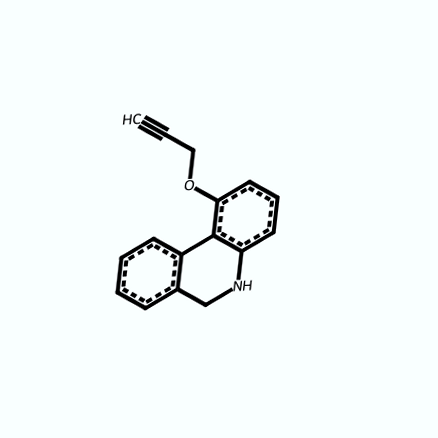 C#CCOc1cccc2c1-c1ccccc1CN2